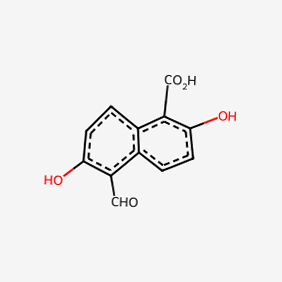 O=Cc1c(O)ccc2c(C(=O)O)c(O)ccc12